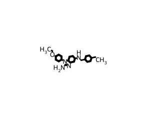 CCOc1ccc(-n2c(N)nc3cc(NCc4ccc(CC)cc4)ccc32)cc1